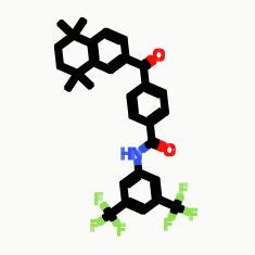 CC1(C)CCC(C)(C)c2cc(C(=O)c3ccc(C(=O)Nc4cc(C(F)(F)F)cc(C(F)(F)F)c4)cc3)ccc21